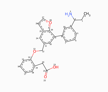 CCC(N)c1cccc(-c2cc(COc3ccccc3CC(=O)O)cc3ccoc23)c1